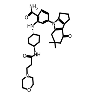 CC1(C)CC(=O)c2c3c(n(-c4ccc(C(N)=O)c(N[C@H]5CC[C@H](NC(=O)CCN6CCOCC6)CC5)c4)c2C1)CCC3